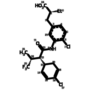 CC[C@H](Cc1ccc(Cl)c(NC(=O)[C@H](C2C=CC(Cl)=CC2)[C@@H](C)C(F)(F)F)c1)C(=O)O